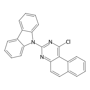 Clc1nc(-n2c3ccccc3c3ccccc32)nc2ccc3ccccc3c12